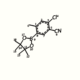 Cc1cc(Cl)c(C#N)cc1B1OC(C)(C)C(C)(C)O1